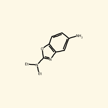 CCN(CC)c1nc2cc(N)ccc2o1